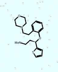 CNCC[C@@H](Oc1ccccc1CCN1CCOCC1)c1cccs1